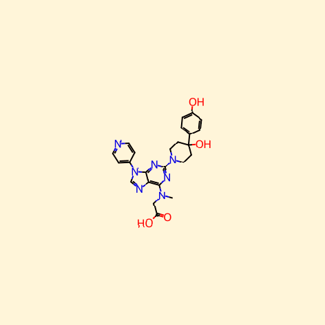 CN(CC(=O)O)c1nc(N2CCC(O)(c3ccc(O)cc3)CC2)nc2c1ncn2-c1ccncc1